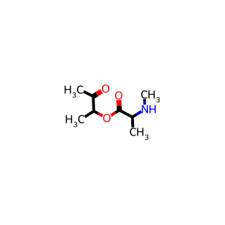 CNC(C)C(=O)OC(C)C(C)=O